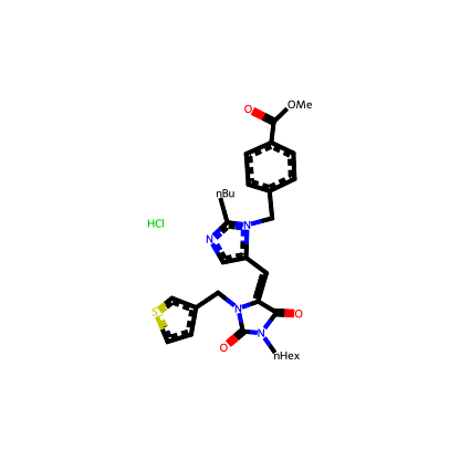 CCCCCCN1C(=O)C(=Cc2cnc(CCCC)n2Cc2ccc(C(=O)OC)cc2)N(Cc2ccsc2)C1=O.Cl